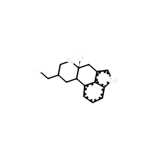 ClCC1CN[C@@H]2Cc3c[nH]c4cccc(c34)C2C1